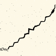 [CH2]CC#CCCCCCCCCCCCCCCCCCCCCCCCCC[CH2]